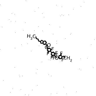 C=Cc1c(F)cc(OC(F)(F)c2c(F)cc(-c3c(F)cc(OC(=O)c4ccc5c(c4)CC(CCCCC)C5)cc3F)cc2F)cc1F